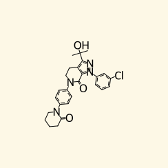 CC(C)(O)c1nn(-c2cccc(Cl)c2)c2c1CCN(c1ccc(N3CCCCC3=O)cc1)C2=O